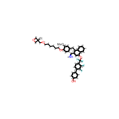 CCC1(COCCCCCCOc2ccc(Cc3c(C=N)cc(OC(F)(F)c4ccc(-c5ccc(O)cc5)c(F)c4F)c4ccccc34)cc2OC)COC1